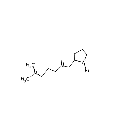 CCN1CCCC1CNCCCN(C)C